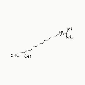 N=C(N)NCCCCCCCCCCCCC(O)CC=O